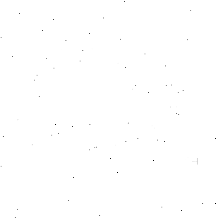 CCC(=O)C1C=CC=CCCCCCCC1